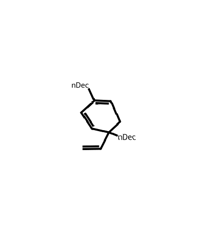 C=CC1(CCCCCCCCCC)C=CC(CCCCCCCCCC)=CC1